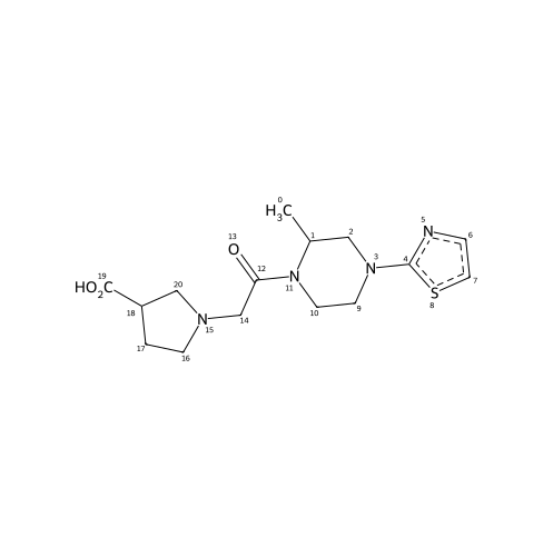 CC1CN(c2nccs2)CCN1C(=O)CN1CCC(C(=O)O)C1